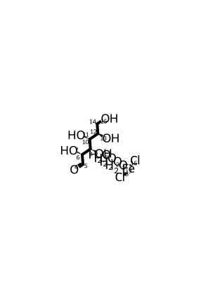 O.O.O.O.O=C[C@H](O)[C@@H](O)[C@H](O)[C@H](O)CO.[Cl][Fe][Cl]